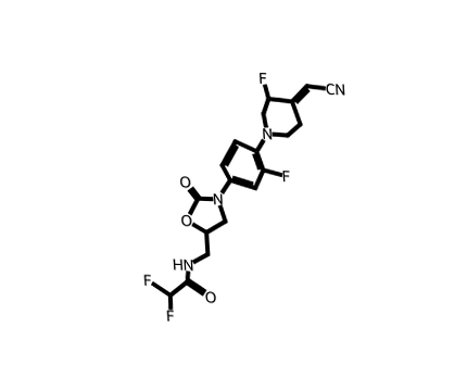 N#CC=C1CCN(c2ccc(N3CC(CNC(=O)C(F)F)OC3=O)cc2F)CC1F